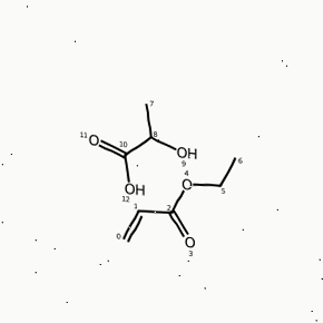 C=CC(=O)OCC.CC(O)C(=O)O